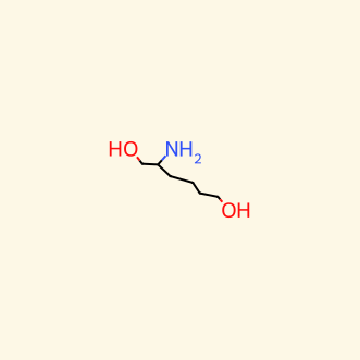 NC(CO)CCCCO